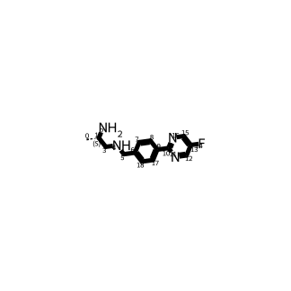 C[C@H](N)CNCc1ccc(-c2ncc(F)cn2)cc1